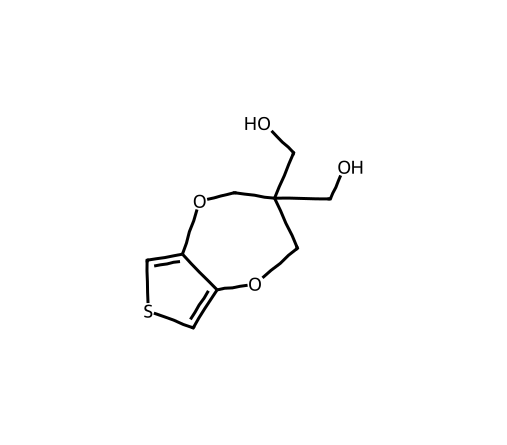 OCC1(CO)COc2cscc2OC1